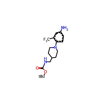 CC(C)(C)OC(=O)NCC1CCN(c2ccc(N)cc2C(F)(F)F)CC1